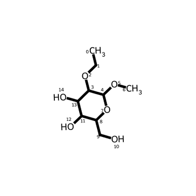 CCOC1C(OC)OC(CO)C(O)C1O